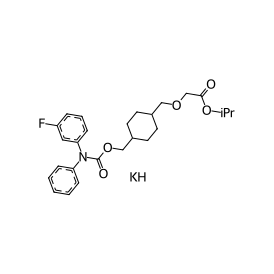 CC(C)OC(=O)COCC1CCC(COC(=O)N(c2ccccc2)c2cccc(F)c2)CC1.[KH]